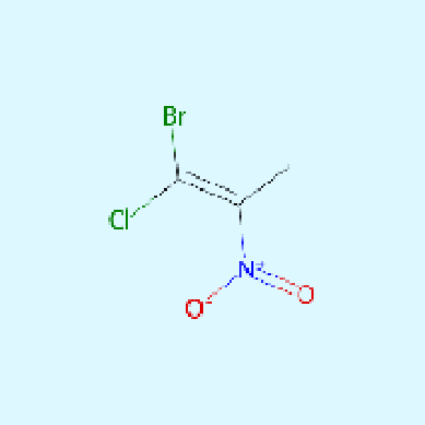 CC(=C(Cl)Br)[N+](=O)[O-]